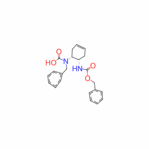 O=C(N[C@H]1CC=CC[C@H]1N(Cc1ccccc1)C(=O)O)OCc1ccccc1